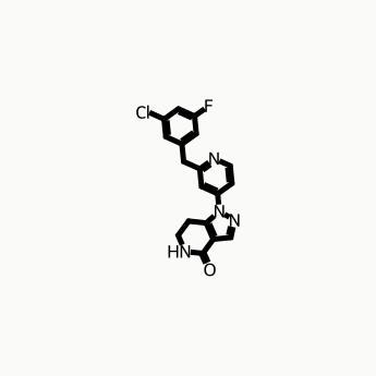 O=C1NCCc2c1cnn2-c1ccnc(Cc2cc(F)cc(Cl)c2)c1